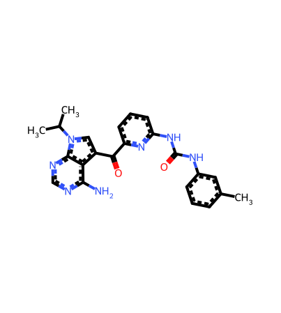 Cc1cccc(NC(=O)Nc2cccc(C(=O)c3cn(C(C)C)c4ncnc(N)c34)n2)c1